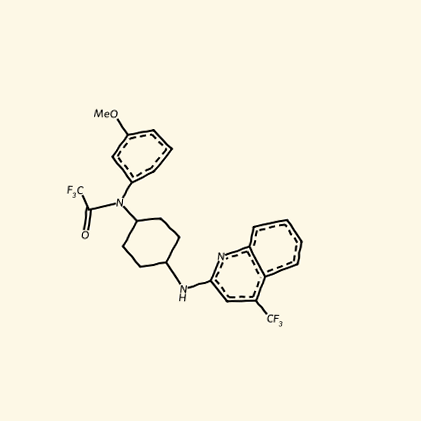 COc1cccc(N(C(=O)C(F)(F)F)C2CCC(Nc3cc(C(F)(F)F)c4ccccc4n3)CC2)c1